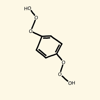 OOOc1ccc(OOO)cc1